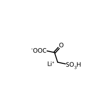 O=C([O-])C(=O)CS(=O)(=O)O.[Li+]